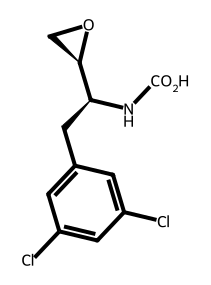 O=C(O)N[C@@H](Cc1cc(Cl)cc(Cl)c1)[C@H]1CO1